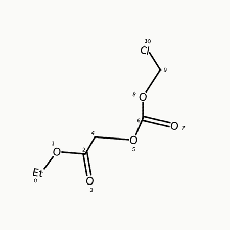 CCOC(=O)COC(=O)OCCl